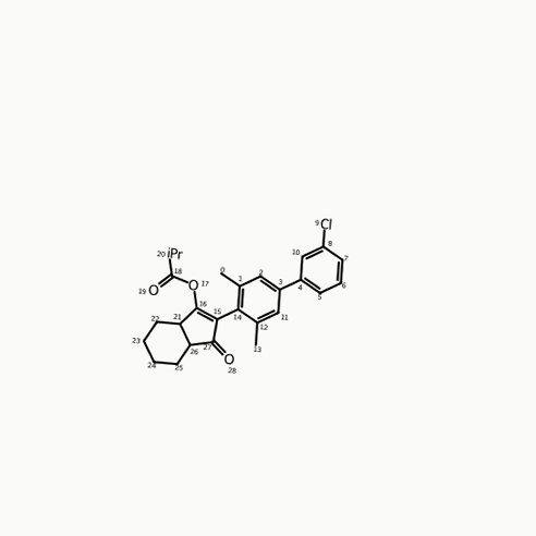 Cc1cc(-c2cccc(Cl)c2)cc(C)c1C1=C(OC(=O)C(C)C)C2CCCCC2C1=O